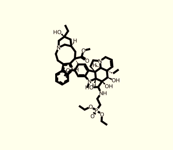 CCOP(=O)(CCNC(O)[C@@]1(O)[C@H](O)[C@]2(CC)C=CCN3CC[C@@]4(C5=CC([C@@]6(C(=O)OC)C[C@H]7CN(CCc8c6[nH]c6ccccc86)C[C@](O)(CC)C7)C(OC)C=C5N(C)[C@H]41)[C@@H]32)OCC